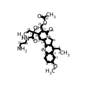 CCc1c2c(nc3ccc(OC)cc13)-c1cc([C@@](O)(CC)C(=O)NCCN)c(COC(C)=O)c(=O)n1C2